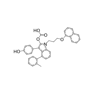 Cc1ccccc1-c1cccc2c1c(-c1ccc(O)cc1)c(OC(=O)O)n2CCCOc1cccc2ccccc12